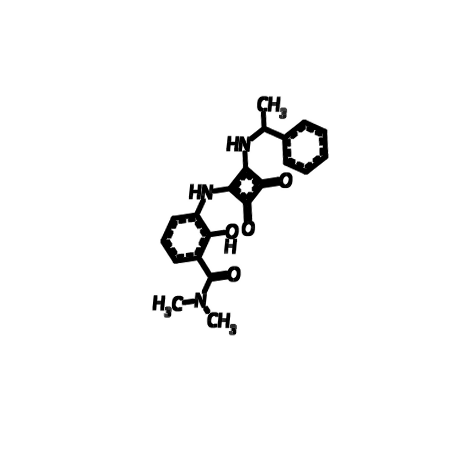 CC(Nc1c(Nc2cccc(C(=O)N(C)C)c2O)c(=O)c1=O)c1ccccc1